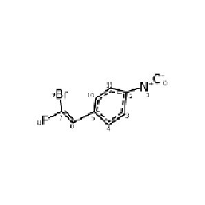 [C-]#[N+]c1ccc(C=C(F)Br)cc1